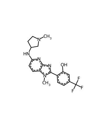 CN1CCC(Nc2ccc3c(n2)nc(-c2ccc(C(F)(F)F)cc2O)n3C)C1